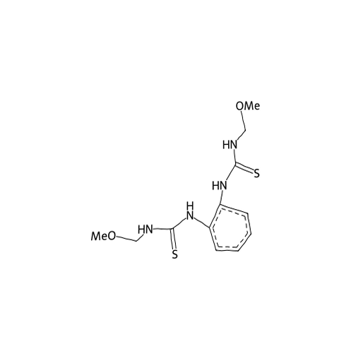 COCNC(=S)Nc1ccccc1NC(=S)NCOC